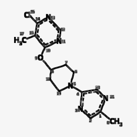 Cc1cnc(N2CCC(Oc3ncnc(Cl)c3C)CC2)cn1